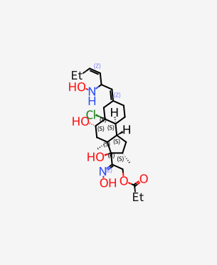 CC/C=C\C(/C=C1/CC[C@H]2[C@@H]3C[C@H](C)[C@](O)(/C(COC(=O)CC)=N/O)[C@@]3(C)C[C@H](O)[C@]2(Cl)C1)NO